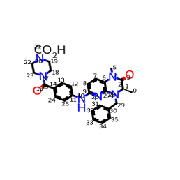 C[C@@H]1C(=O)N(C)c2ccc(Nc3ccc(C(=O)N4CCN(C(=O)O)CC4)cc3)nc2N1Cc1ccccc1